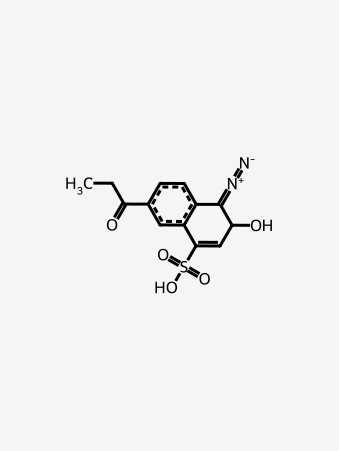 CCC(=O)c1ccc2c(c1)C(S(=O)(=O)O)=CC(O)C2=[N+]=[N-]